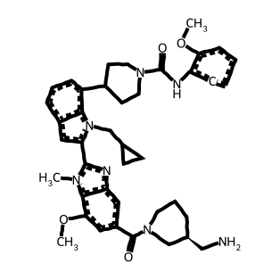 COc1ccccc1NC(=O)N1CCC(c2cccc3cc(-c4nc5cc(C(=O)N6CCC[C@@H](CN)C6)cc(OC)c5n4C)n(CC4CC4)c23)CC1